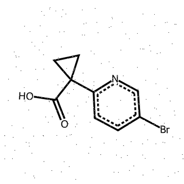 O=C(O)C1(c2ccc(Br)cn2)CC1